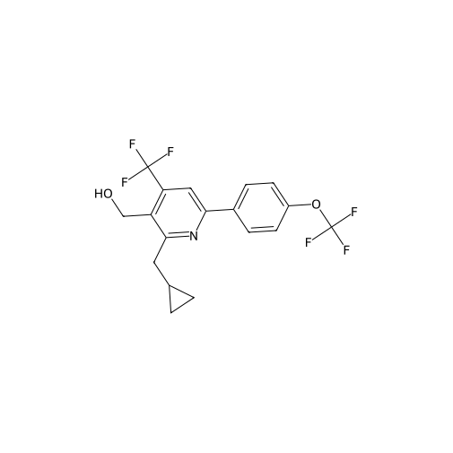 OCc1c(C(F)(F)F)cc(-c2ccc(OC(F)(F)F)cc2)nc1CC1CC1